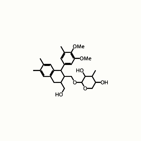 COc1cc(C2c3cc(C)c(C)cc3CC(CO)C2COC2OCC(O)C(C)C2O)cc(C)c1OC